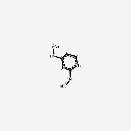 CCCCNc1ccnc(NCCCC)n1